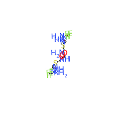 NC(=NCC(F)(F)C(F)F)Nc1cccc(SCCCCNC(=O)/C=C\C(=O)OC(N)CCCSc2cccc(NC(N)=NCC(F)(F)C(F)F)n2)n1